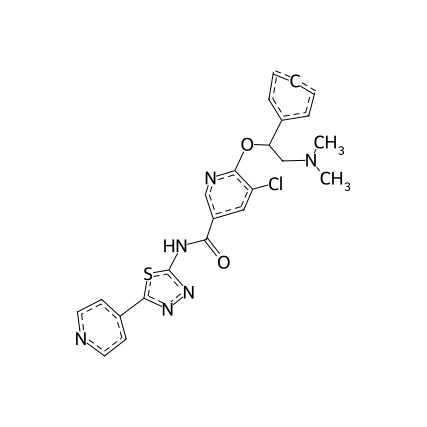 CN(C)CC(Oc1ncc(C(=O)Nc2nnc(-c3ccncc3)s2)cc1Cl)c1ccccc1